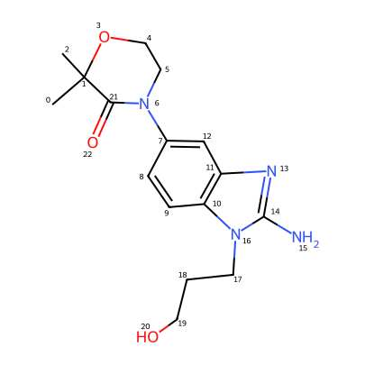 CC1(C)OCCN(c2ccc3c(c2)nc(N)n3CCCO)C1=O